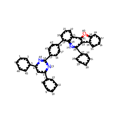 c1ccc(-c2cc(-c3ccccc3)nc(-c3ccc(-c4cccc5c4nc(-c4ccccc4)c4c6ccccc6oc54)cc3)n2)cc1